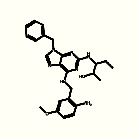 CCC(Nc1nc(NCc2cc(OC)ccc2N)c2ncn(Cc3ccccc3)c2n1)C(C)O